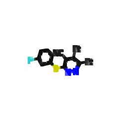 CCc1nnc(Sc2cccc(F)c2)c(C#N)c1CC